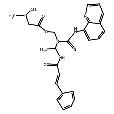 CC(NC(=O)/C=C/c1ccccc1)N(COC(=O)CN(C)C)C(=S)Nc1cccc2cccnc12